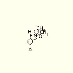 CC(C)(C)[S@@+]([O-])/N=C/c1cc(C2CC2)ccc1F